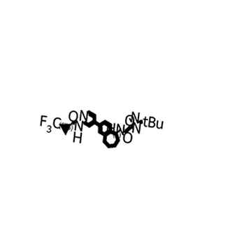 CC(C)(C)c1noc(C(=O)N[C@H]2CCCCc3cc(-c4ccnc(NC(=O)[C@H]5C[C@@H]5C(F)(F)F)c4)ccc32)n1